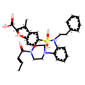 C/C=C/C(=O)N1CCN(c2ccccc2N(CCc2ccccc2)S(=O)(=O)c2ccc3oc(C(=O)O)c(C)c3c2)CC1